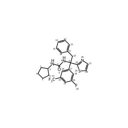 O=C(NC1CCCC1)NC(Cc1ccccc1)(c1cc(F)cc(C(F)(F)F)c1)c1nccs1